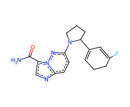 NC(=O)c1cnc2ccc(N3CCCC3C3=CCCC(F)=C3)nn12